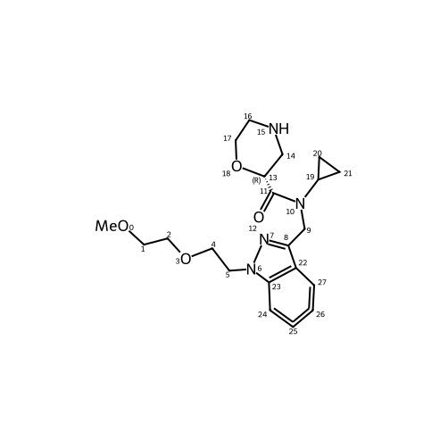 COCCOCCn1nc(CN(C(=O)[C@H]2CNCCO2)C2CC2)c2c1C=C=C=C2